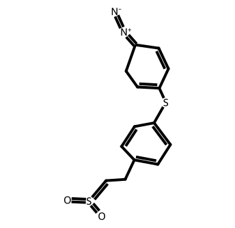 [N-]=[N+]=C1C=CC(Sc2ccc(CC=S(=O)=O)cc2)=CC1